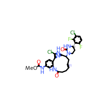 COC(=O)Nc1ccc2c(c1)NC(=O)CC/C=C/CC(N1CC[C@@H](c3c(F)ccc(Cl)c3F)NC1=O)c1nc-2c(Cl)[nH]1